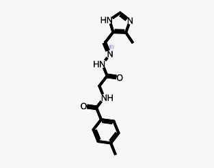 Cc1ccc(C(=O)NCC(=O)N/N=C/c2[nH]cnc2C)cc1